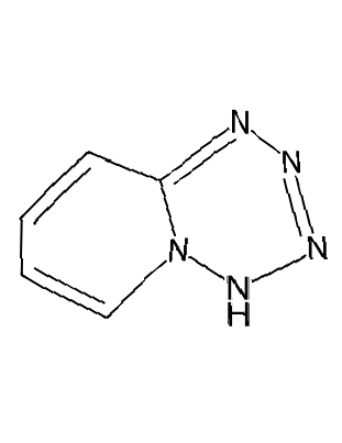 C1=CC2=NN=NNN2C=C1